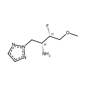 COC[C@@H](F)[C@H](N)Cn1nccn1